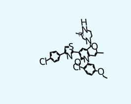 CCOc1ccc(Cl)c(-n2c(C=C(C)C)c(C(=O)N3CCN[C@H](C)C3)cc(-c3nc(-c4ccc(Cl)cc4)cs3)c2=O)c1